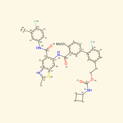 COc1ccc(-c2cc(CCOC(=O)NC3CCC3)ccc2F)cc1C(=O)Nc1cc2sc(C)nc2cc1C(=O)Nc1ccc(F)c(C(F)(F)F)c1